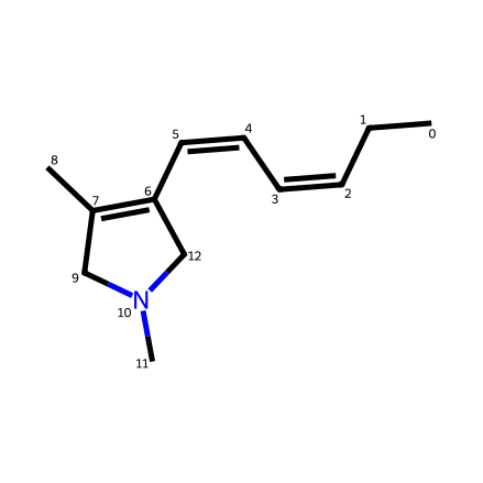 CC/C=C\C=C/C1=C(C)CN(C)C1